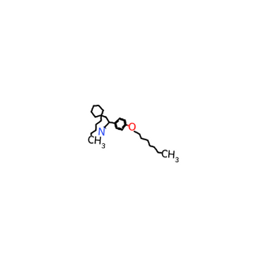 CCCCCCCCOc1ccc(C(C#N)CC2(CCCCC)CCCCC2)cc1